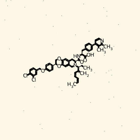 C=C(/C=C\C=C/C)[C@H](CC)N1Cc2cc3c(cc2C[C@H]1C(=O)N[C@@H](Cc1ccc(-c2ccnc(C)c2C)cc1)C(=O)O)OC[C@H](c1ccc(OCc2ccc(Cl)c(Cl)c2)cc1)O3